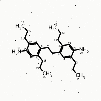 CCCc1cc(CCc2cc(CCC)c(N)cc2CCC)c(CCC)cc1N